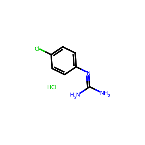 Cl.NC(N)=Nc1ccc(Cl)cc1